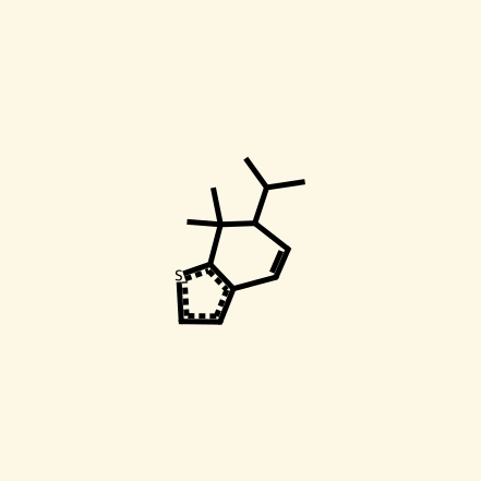 CC(C)C1C=Cc2ccsc2C1(C)C